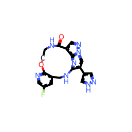 O=C1NCCOc2ncc(F)cc2CNc2nc3c1cnn3cc2-c1cn[nH]c1